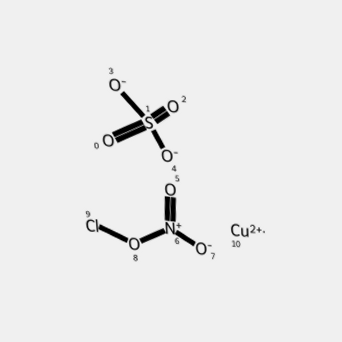 O=S(=O)([O-])[O-].O=[N+]([O-])OCl.[Cu+2]